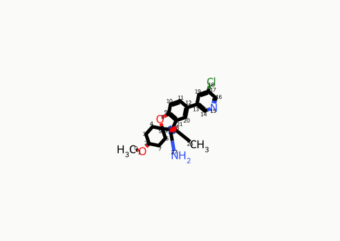 COC1CCC2(CC1)Oc1ccc(-c3cncc(Cl)c3)cc1C21N=C(C)C(N)=N1